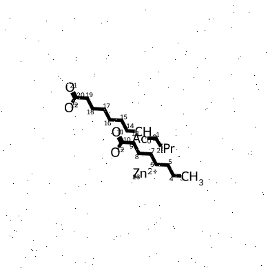 CC(=O)CC(C)C.CCCCCCCC(=O)[O-].CCCCCCCC(=O)[O-].[Zn+2]